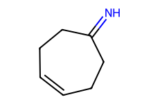 N=C1CCC=CCC1